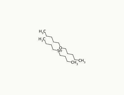 CCCCCOCCCCC.CCC[CH2][Sn][CH2]CCC